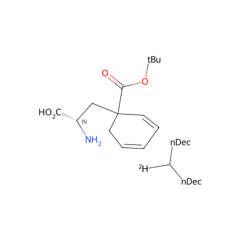 CC(C)(C)OC(=O)C1(C[C@H](N)C(=O)O)C=CC=CC1.[2H]C(CCCCCCCCCC)CCCCCCCCCC